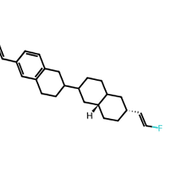 C=Cc1ccc2c(c1)CCC(C1CCC3C[C@H](C=CF)CC[C@@H]3C1)C2